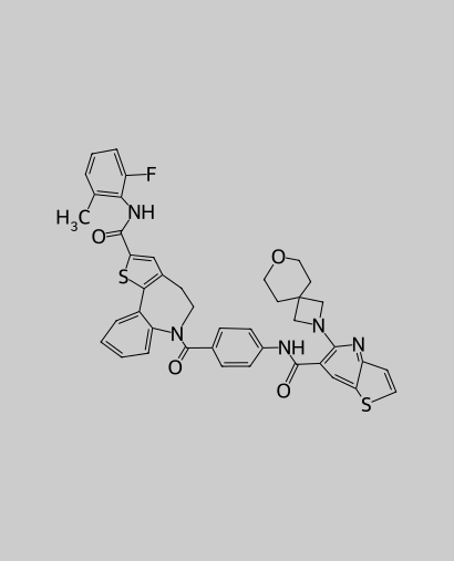 Cc1cccc(F)c1NC(=O)c1cc2c(s1)-c1ccccc1N(C(=O)c1ccc(NC(=O)c3cc4sccc4nc3N3CC4(CCOCC4)C3)cc1)CC2